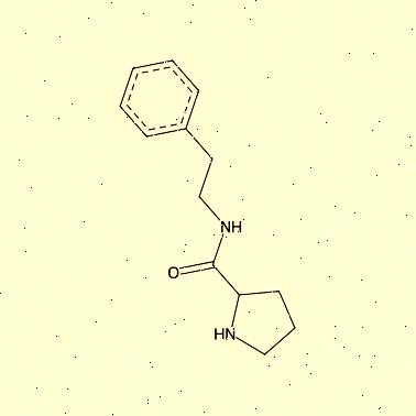 O=C(NCCc1ccccc1)C1CCCN1